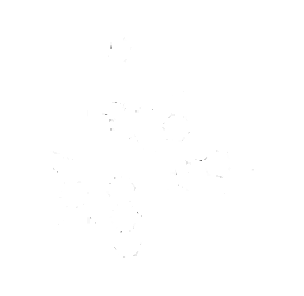 COc1cc(NS(C)(=O)=O)ccc1Nc1c2ccccc2nc2ccccc12.COc1cc([C@@H]2c3cc4c(cc3C(O[C@@H]3O[C@@H]5COC(c6cccs6)O[C@H]5[C@H](O)[C@H]3O)C3COC(=O)[C@@H]32)OCO4)cc(OC)c1O